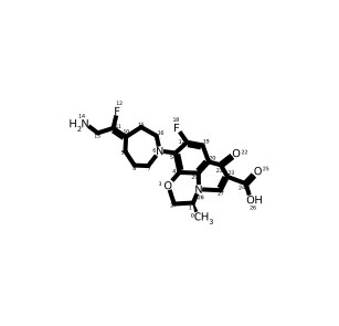 C[C@H]1COc2c(N3CCC/C(=C(/F)CN)CC3)c(F)cc3c(=O)c(C(=O)O)cn1c23